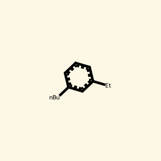 CCCCc1c[c]cc(CC)c1